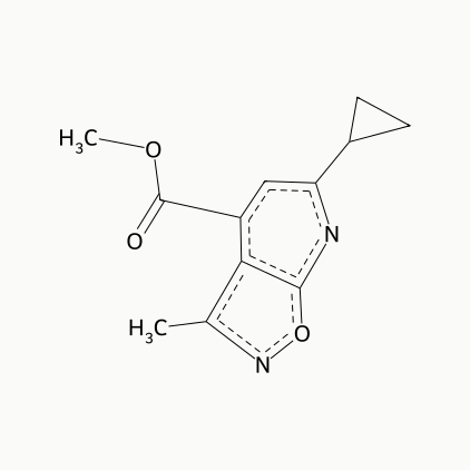 COC(=O)c1cc(C2CC2)nc2onc(C)c12